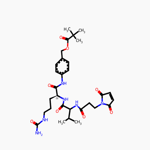 CC(C)C(NC(=O)CCN1C(=O)C=CC1=O)C(=O)N[C@@H](CCCNC(N)=O)C(=O)Nc1ccc(COC(=O)C(C)(C)C)cc1